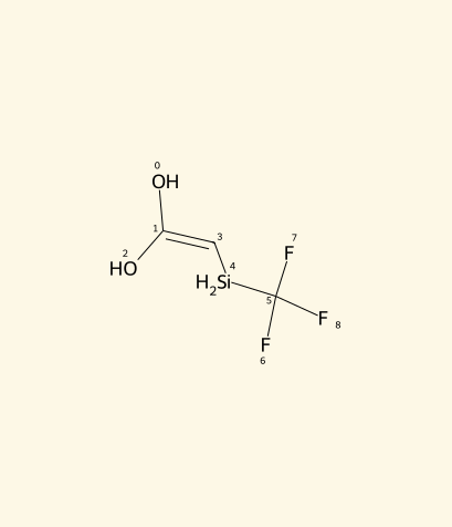 OC(O)=C[SiH2]C(F)(F)F